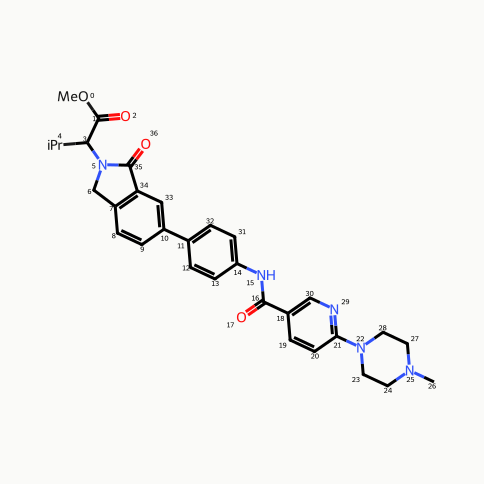 COC(=O)C(C(C)C)N1Cc2ccc(-c3ccc(NC(=O)c4ccc(N5CCN(C)CC5)nc4)cc3)cc2C1=O